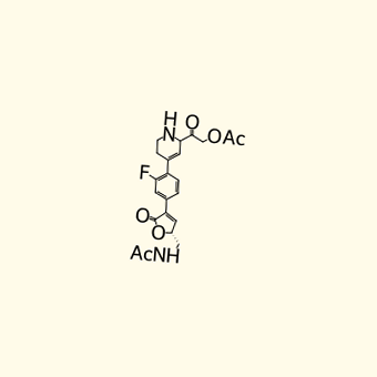 CC(=O)NC[C@H]1C=C(c2ccc(C3=CC(C(=O)COC(C)=O)NCC3)c(F)c2)C(=O)O1